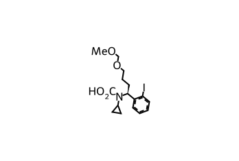 COCOCCC[C@@H](c1ccccc1I)N(C(=O)O)C1CC1